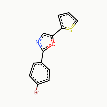 Brc1ccc(-c2ncc(-c3cccs3)o2)cc1